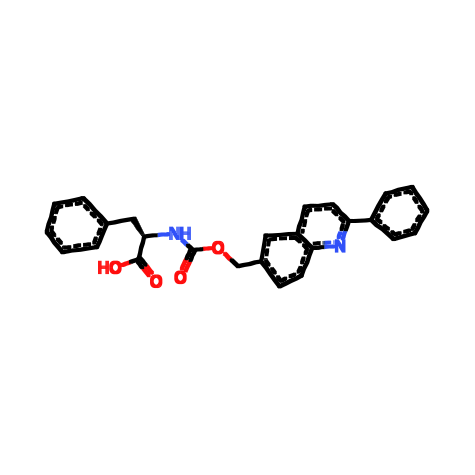 O=C(N[C@H](Cc1ccccc1)C(=O)O)OCc1ccc2nc(-c3ccccc3)ccc2c1